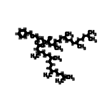 CC(C)CCC[C@@H](C)CCC[C@@H](C)CCCC(C)CC(=O)OC[C@H](COCc1ccccc1)OC(=O)CC(C)CCC[C@H](C)CCC[C@H](C)CCCC(C)C